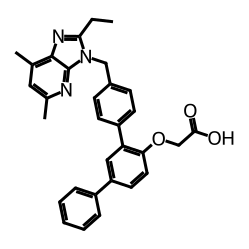 CCc1nc2c(C)cc(C)nc2n1Cc1ccc(-c2cc(-c3ccccc3)ccc2OCC(=O)O)cc1